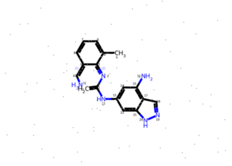 C=C(/N=C1/C(C)=CC=C/C1=C/N)Nc1cc(N)c2cn[nH]c2c1